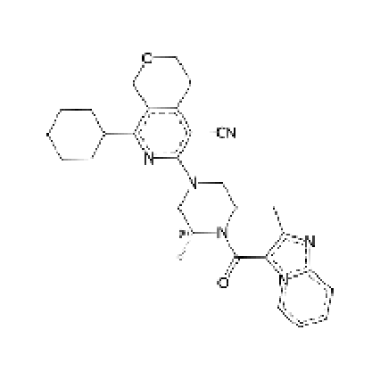 Cc1nc2ccccn2c1C(=O)N1CCN(c2nc(C3CCCCC3)c3c(c2C#N)CCOC3)C[C@H]1C